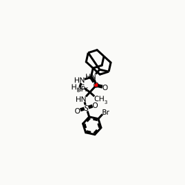 CCCNC(=O)C12CC3CC(C1)C(NC(=O)C(C)(C)NS(=O)(=O)c1ccccc1Br)C(C3)C2